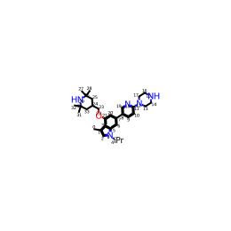 Cc1cn(C(C)C)c2cc(-c3ccc(N4CCNCC4)nc3)cc(OCC3CC(C)(C)NC(C)(C)C3)c12